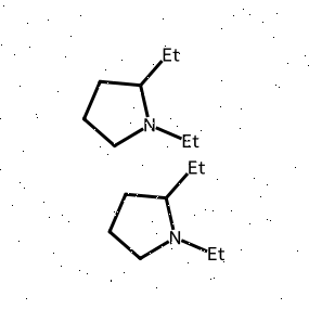 CCC1CCCN1CC.CCC1CCCN1CC